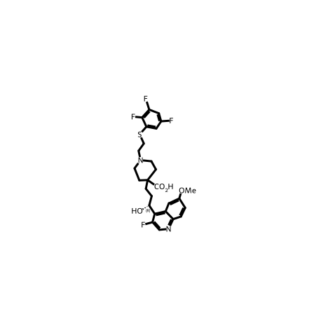 COc1ccc2ncc(F)c([C@H](O)CCC3(C(=O)O)CCN(CCSc4cc(F)cc(F)c4F)CC3)c2c1